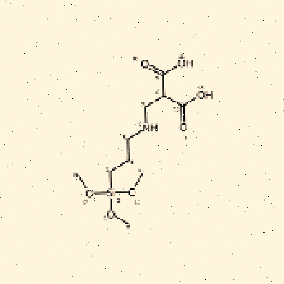 CO[Si](CCCNCC(C(=O)O)C(=O)O)(OC)OC